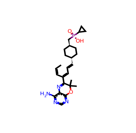 C\C=C/C(=C\C=C\[C@H]1CC[C@H](CP(=O)(O)C2CC2)CC1)C1=Nc2c(N)ncnc2OC1(C)C